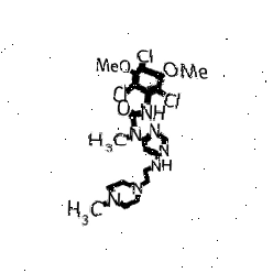 COc1c(Cl)c(NC(=O)N(C)c2cc(NCCN3CCN(C)CC3)ncn2)c(Cl)c(OC)c1Cl